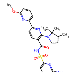 CC(C)Oc1cccc(-c2ccc(C(=O)NS(=O)(=O)c3cccc(N)n3)c(N3CCC(C)C3(C)C)n2)n1